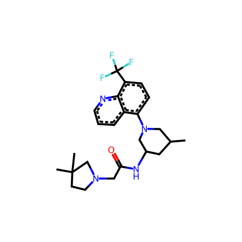 CC1CC(NC(=O)CN2CCC(C)(C)C2)CN(c2ccc(C(F)(F)F)c3ncccc23)C1